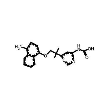 CC(C)(COc1ccc(N)c2ccccc12)c1ccnc(NC(=O)O)c1